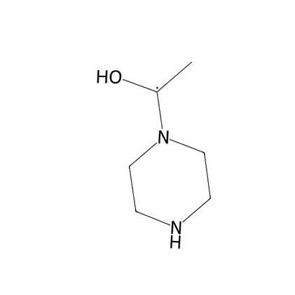 C[C](O)N1CCNCC1